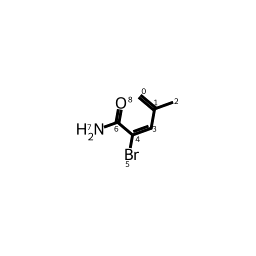 C=C(C)/C=C(/Br)C(N)=O